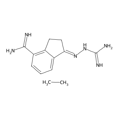 CC.N=C(N)NN=C1CCc2c(C(=N)N)cccc21